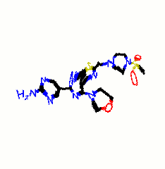 CS(=O)(=O)N1CCN(Cc2nc3c(N4CCOCC4)nc(-c4cnc(N)nc4)nc3s2)CC1